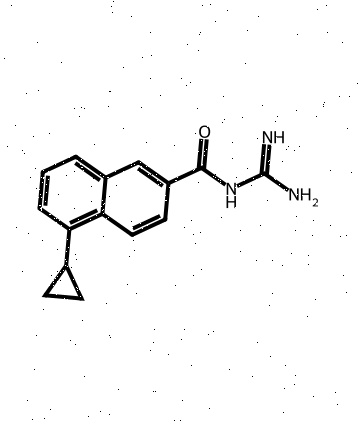 N=C(N)NC(=O)c1ccc2c(C3CC3)cccc2c1